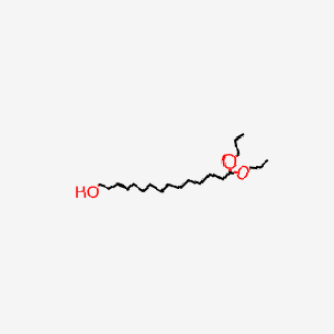 CCCOC(CCCCCCCCCC/C=C/CCO)OCCC